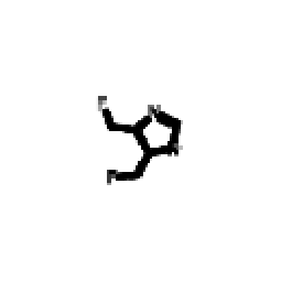 FCC1[N][C]=NC1CF